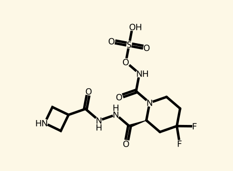 O=C(NNC(=O)[C@@H]1CC(F)(F)CCN1C(=O)NOS(=O)(=O)O)C1CNC1